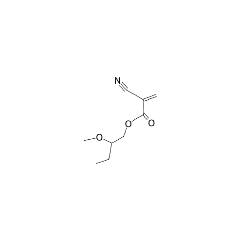 C=C(C#N)C(=O)OCC(CC)OC